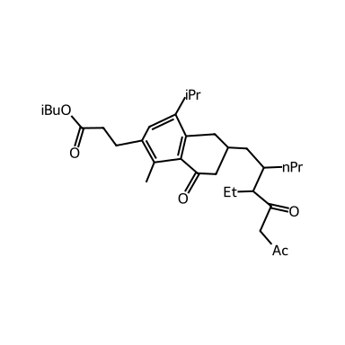 CCCC(CC1CC(=O)c2c(C)c(CCC(=O)OCC(C)C)cc(C(C)C)c2C1)C(CC)C(=O)CC(C)=O